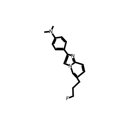 CN(C)c1ccc(-c2cn3cc(CCCF)ccc3n2)cc1